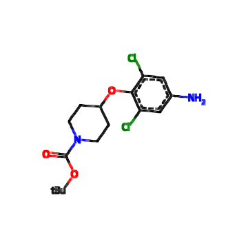 CC(C)(C)OC(=O)N1CCC(Oc2c(Cl)cc(N)cc2Cl)CC1